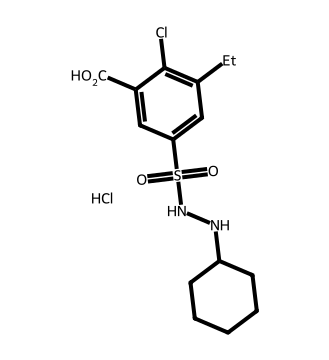 CCc1cc(S(=O)(=O)NNC2CCCCC2)cc(C(=O)O)c1Cl.Cl